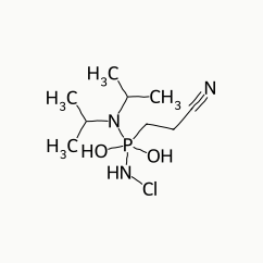 CC(C)N(C(C)C)P(O)(O)(CCC#N)NCl